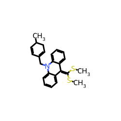 CSC(SC)=C1c2ccccc2N(CC2=CCC(C)C=C2)c2ccccc21